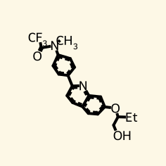 CCC(CO)Oc1ccc2ccc(-c3ccc(N(C)C(=O)C(F)(F)F)cc3)nc2c1